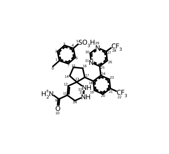 Cc1ccc(S(=O)(=O)O)cc1.NC(=O)C1=CC2(CCCC2c2ccc(C(F)(F)F)cc2-c2cc(C(F)(F)F)ncn2)NNC1